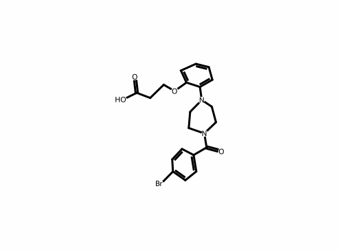 O=C(O)CCOc1ccccc1N1CCN(C(=O)c2ccc(Br)cc2)CC1